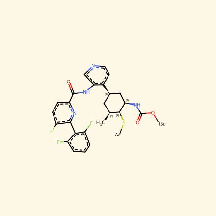 CC(=O)S[C@H]1[C@@H](C)C[C@@H](c2ccncc2NC(=O)c2ccc(F)c(-c3c(F)cccc3F)n2)C[C@H]1NC(=O)OC(C)(C)C